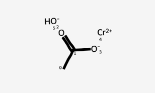 CC(=O)[O-].[Cr+2].[OH-]